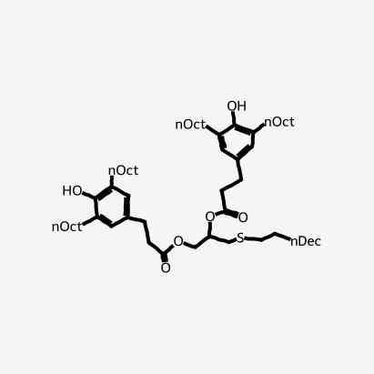 CCCCCCCCCCCCSCC(COC(=O)CCc1cc(CCCCCCCC)c(O)c(CCCCCCCC)c1)OC(=O)CCc1cc(CCCCCCCC)c(O)c(CCCCCCCC)c1